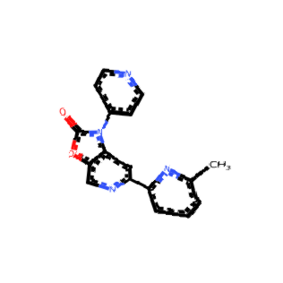 Cc1cccc(-c2cc3c(cn2)oc(=O)n3-c2ccncc2)n1